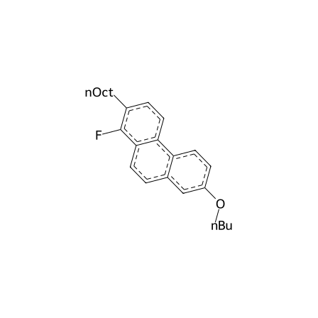 CCCCCCCCc1ccc2c(ccc3cc(OCCCC)ccc32)c1F